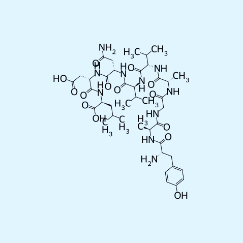 CC(C)C[C@H](NC(=O)[C@H](CC(=O)O)NC(=O)[C@H](CC(N)=O)NC(=O)[C@@H](NC(=O)[C@@H](NC(=O)[C@H](C)NC(=O)CNC(=O)[C@H](C)NC(=O)[C@@H](N)Cc1ccc(O)cc1)C(C)C)C(C)C)C(=O)O